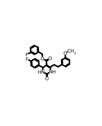 COc1cccc(CCC2=C(C(=O)OCc3cccc(F)c3)C(c3ccc(F)cc3)NC(=O)N2)c1